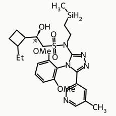 CCC1CCC1[C@@H](O)CS(=O)(=O)N(CC[SiH2]C)c1nnc(-c2cncc(C)c2)n1-c1c(OC)cccc1OC